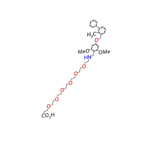 COc1cc(OCc2cccc(-c3ccccc3)c2C)cc(OC)c1CNCCOCCOCCOCCOCCOCCOCCC(=O)O